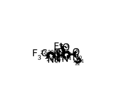 CCS(=O)(=O)c1cc(C(=O)N2CCCC2)cnc1-c1nc2cc(C(F)(F)F)cnc2n1C